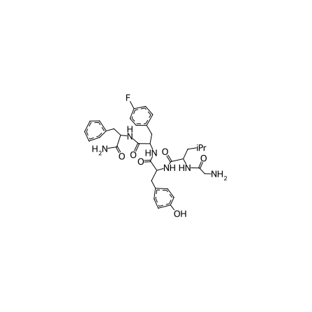 CC(C)CC(NC(=O)CN)C(=O)NC(Cc1ccc(O)cc1)C(=O)NC(Cc1ccc(F)cc1)C(=O)NC(Cc1ccccc1)C(N)=O